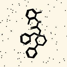 Cc1cccc(C)c1NC(=O)C[N+]1(Cc2ccccc2)CCCC(c2ccccc2)C1